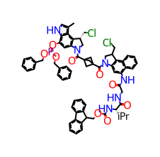 Cc1c[nH]c2c(OP(OCc3ccccc3)OCc3ccccc3)cc3c(c12)[C@H](CCl)CN3C(=O)C12CC(C(=O)N3CC(CCl)c4c3cc(NC(=O)CNC(=O)[C@@H](NC(=O)OCC3c5ccccc5-c5ccccc53)C(C)C)c3ccccc43)(C1)C2